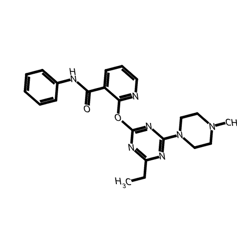 CCc1nc(Oc2ncccc2C(=O)Nc2ccccc2)nc(N2CCN(C)CC2)n1